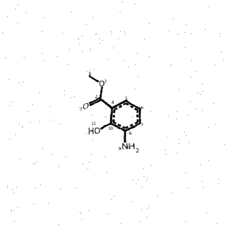 COC(=O)c1c[c]cc(N)c1O